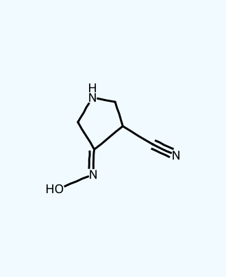 N#CC1CNC/C1=N\O